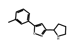 Cc1cccc(-c2cc(C3CCCN3)no2)c1